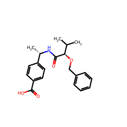 CC(C)[C@@H](OCc1ccccc1)C(=O)N[C@@H](C)c1ccc(C(=O)O)cc1